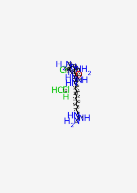 Cl.Cl.N=C(N)NCCCCCCCCCCCNC(=N)NC(=O)c1nc(Cl)c(N)nc1N